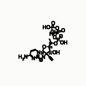 C#CC1(N)[C@@H](O)[C@@H]([C@@H](C)OP(=O)(O)OP(=O)(O)OP(=O)(O)O)O[C@H]1n1ccc(N)nc1=O